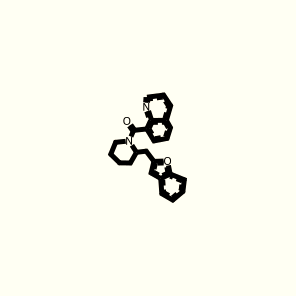 O=C(c1cccc2cccnc12)N1CCCCC1Cc1cc2ccccc2o1